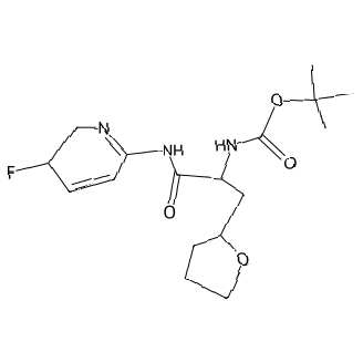 CC(C)(C)OC(=O)NC(CC1CCCO1)C(=O)NC1=NCC(F)C=C1